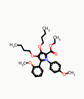 CCCCOc1c(OCCCC)c(-c2ccccc2OC)n(-c2ccc(OC)cc2)c1C(=O)OCC